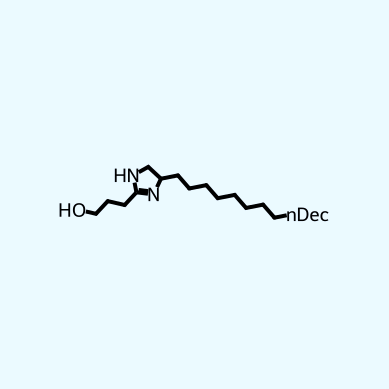 CCCCCCCCCCCCCCCCCCC1CNC(CCCO)=N1